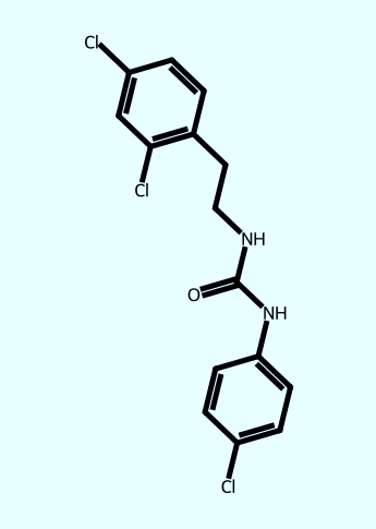 O=C(NCCc1ccc(Cl)cc1Cl)Nc1ccc(Cl)cc1